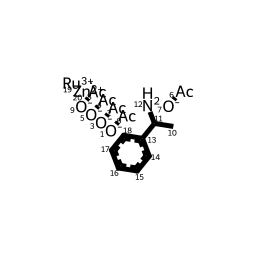 CC(=O)[O-].CC(=O)[O-].CC(=O)[O-].CC(=O)[O-].CC(=O)[O-].CC(N)c1ccccc1.[Ru+3].[Zn+2]